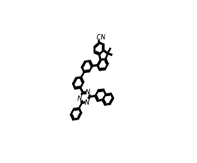 CC1(C)c2cc(C#N)ccc2-c2c(-c3cccc(-c4cccc(-c5nc(-c6ccccc6)nc(-c6ccc7ccccc7c6)n5)c4)c3)cccc21